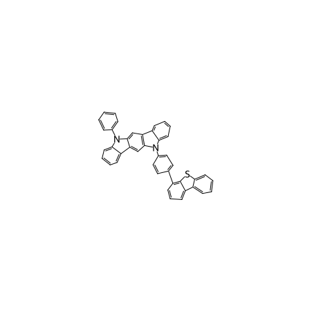 c1ccc(-n2c3ccccc3c3cc4c(cc32)c2ccccc2n4-c2ccc(-c3cccc4c3sc3ccccc34)cc2)cc1